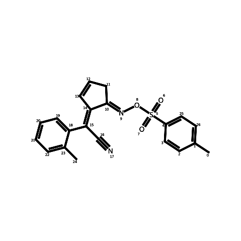 Cc1ccc(S(=O)(=O)O/N=C2\CC=C\C2=C(\C#N)c2ccccc2C)cc1